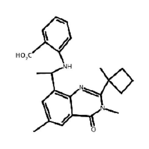 Cc1cc(C(C)Nc2ccccc2C(=O)O)c2nc(C3(C)CCC3)n(C)c(=O)c2c1